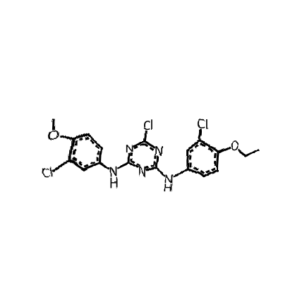 CCOc1ccc(Nc2nc(Cl)nc(Nc3ccc(OC)c(Cl)c3)n2)cc1Cl